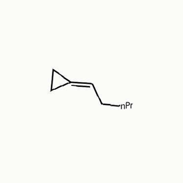 CCCCC=C1CC1